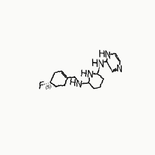 F[C@@H]1CC=C(CNC2CCCC(NC3C=NC=CN3)N2)CC1